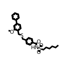 CCCCCCS(=O)(=O)NC(=O)c1ccc(CSCc2ccc(-c3ccccc3)cc2OC)cc1